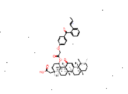 C/C=C/c1ccccc1C(=O)c1ccc(OCC(=O)OC2CCC(C)(CC(=O)O)[C@@H]3CC[C@]4(C)[C@H](C(=O)C=C5[C@@H]6[C@@H](C)[C@H](C)CC[C@]6(C)CC[C@]54C)[C@@]23C)cc1